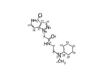 CN(CCNC(=O)Cn1ncc2c(Cl)nccc21)C1CCCCC1